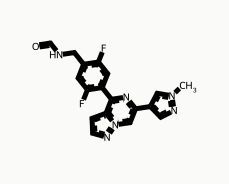 Cn1cc(-c2cn3nccc3c(-c3cc(F)c(CNC=O)cc3F)n2)cn1